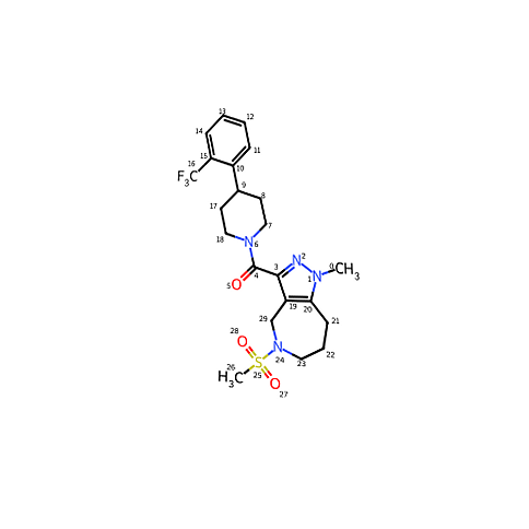 Cn1nc(C(=O)N2CCC(c3ccccc3C(F)(F)F)CC2)c2c1CCCN(S(C)(=O)=O)C2